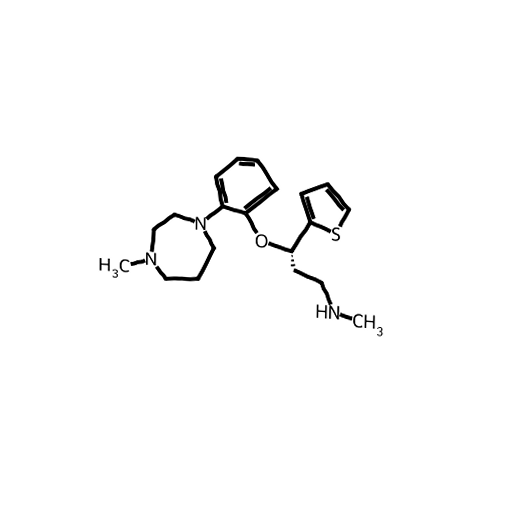 CNCC[C@H](Oc1ccccc1N1CCCN(C)CC1)c1cccs1